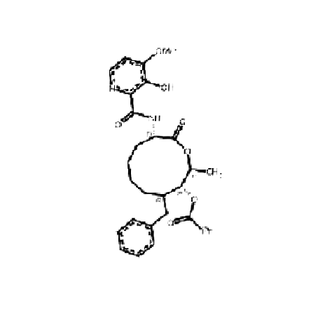 COc1ccnc(C(=O)N[C@H]2CCCC[C@H](Cc3ccccc3)[C@@H](OC(=O)C(C)C)[C@H](C)OC2=O)c1O